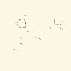 CC(C)(C)OC(=O)N[C@H]1CN(C(=O)C2CCN(C(=O)C3(C)CC3)CC2)C[C@@H]1c1ccc(Cl)c(Cl)c1